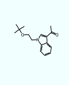 CC(=O)c1cn(CCOC(C)(C)C)c2ccccc12